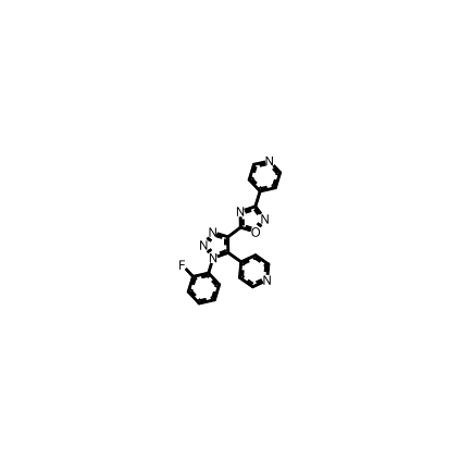 Fc1ccccc1-n1nnc(-c2nc(-c3ccncc3)no2)c1-c1ccncc1